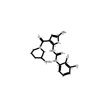 CC(=O)NC1CCCN(C(=O)c2cc(C(C)(C)C)sc2NC(=O)Nc2cccc(Cl)c2Cl)C1